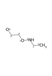 CCNOCC[O]